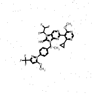 COc1ncnc(C2CC2)c1-c1ncc2c(n1)n([C@H](C)c1ccc(-n3nc(C(F)(F)F)cc3OC)cc1)c(=N)n2C(F)C(F)F